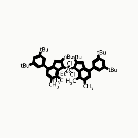 CCCCC1=Cc2c(-c3cc(C(C)(C)C)cc(C(C)(C)C)c3)cc(C)c(C)c2[CH]1[Zr]([Cl])([Cl])([CH2]C)[CH]1C(CCCC)=Cc2c(-c3cc(C(C)(C)C)cc(C(C)(C)C)c3)cc(C)c(C)c21